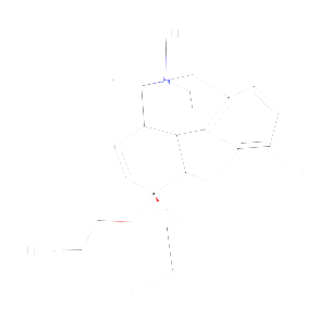 CCCO[C@@]12Oc3c(O)ccc4c3[C@@]13CCN(C)[C@H](C4)[C@@H]3C=C[C@@]2(O)OCCC